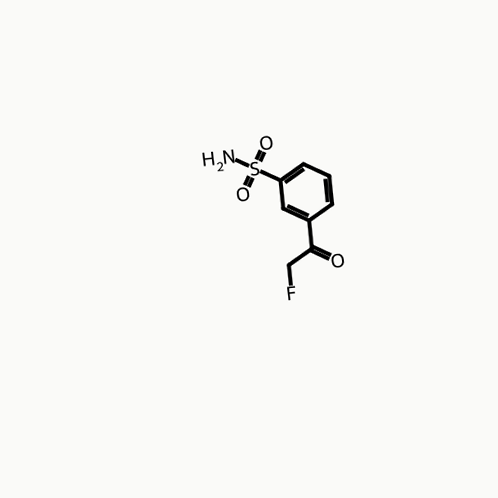 NS(=O)(=O)c1cccc(C(=O)CF)c1